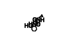 O=C(NCC1CC1)C(=O)NC1CCCCCC1O